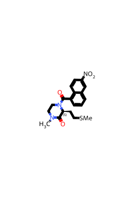 CSCC[C@H]1C(=O)N(C)CCN1C(=O)c1cccc2cc([N+](=O)[O-])ccc12